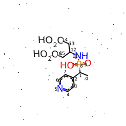 CC(c1ccncc1)P(=O)(O)NC(CC(=O)O)CC(=O)O